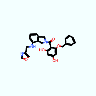 O=C(c1c(O)cc(O)cc1OCc1ccccc1)N1Cc2cccc(NCc3cocn3)c2C1